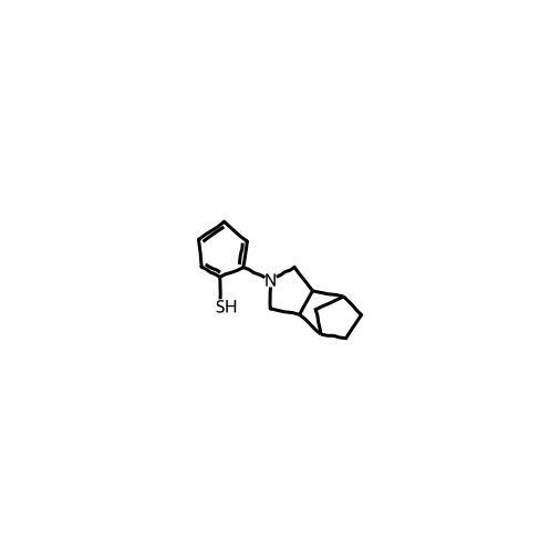 Sc1ccccc1N1CC2C3CCC(C3)C2C1